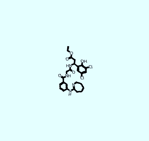 CCOC(=O)CC(NC(=O)CNC(=O)c1cccc(NC2=NCCCCC2)c1)c1cc(Cl)cc(Cl)c1O